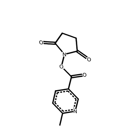 Cc1ccc(C(=O)ON2C(=O)CCC2=O)cn1